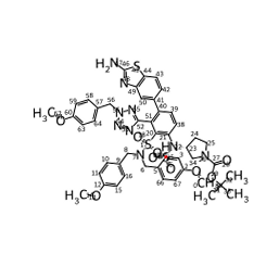 COc1ccc(CN(Cc2ccc(OC)cc2)S(=O)(=O)c2c(N([C@@H]3CCN(C(=O)OC(C)(C)C)C3)[SH](=O)=O)ccc(-c3ccc4sc(N)nc4c3)c2-c2nnn(Cc3ccc(OC)cc3)n2)cc1